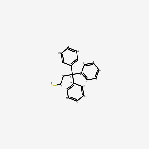 SCCC(c1ccccc1)(c1ccccc1)c1ccccc1